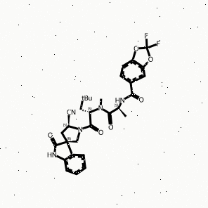 C[C@H](NC(=O)c1ccc2c(c1)OC(F)(F)O2)C(=O)N(C)[C@@H](CC(C)(C)C)C(=O)N1C[C@]2(C[C@H]1C#N)C(=O)Nc1ccccc12